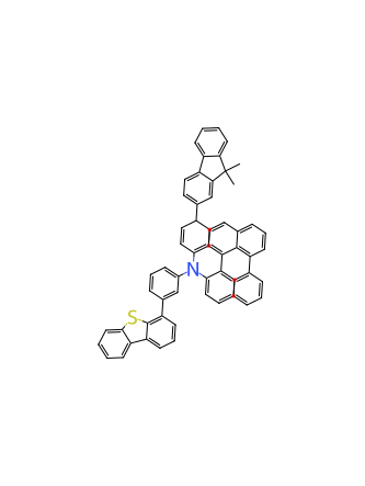 CC1(C)c2ccccc2-c2ccc(C3C=CC(N(c4cccc(-c5cccc6c5sc5ccccc56)c4)c4ccccc4-c4cccc5cccc(-c6ccccc6)c45)=CC3)cc21